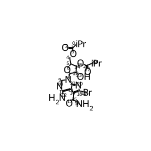 CC(C)C(=O)OCC1OC(n2cnc(N)c3c(C(N)=O)c(Br)nc2-3)C(O)C1OC(=O)C(C)C